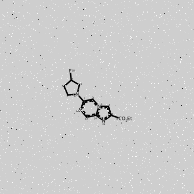 CCOC(=O)c1cn2cc(N3CCC(F)C3)ncc2n1